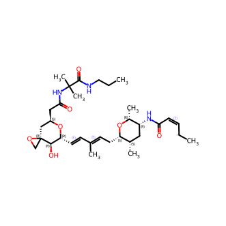 C[CH]/C=C\C(=O)N[C@@H]1C[C@H](C)[C@H](C/C=C(C)/C=C/[C@H]2O[C@H](CC(=O)NC(C)(C)C(=O)NCCC)C[C@@]3(CO3)[C@@H]2O)O[C@@H]1C